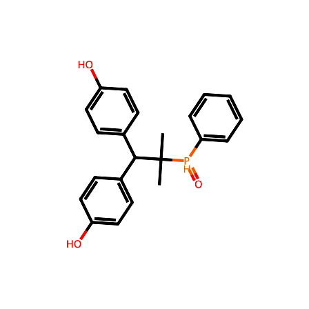 CC(C)(C(c1ccc(O)cc1)c1ccc(O)cc1)[PH](=O)c1ccccc1